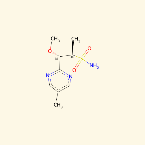 CO[C@@H](c1ncc(C)cn1)[C@@H](C)S(N)(=O)=O